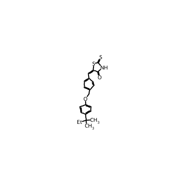 CCC(C)(C)c1ccc(OCc2ccc(C=C3SC(=S)NC3=O)cc2)cc1